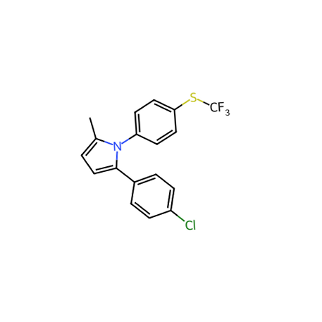 Cc1ccc(-c2ccc(Cl)cc2)n1-c1ccc(SC(F)(F)F)cc1